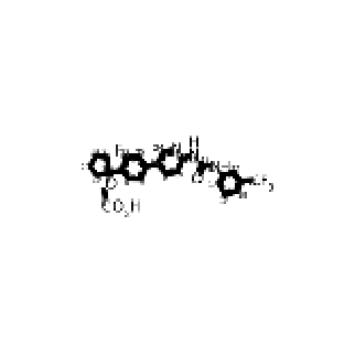 O=C(O)COC1(c2ccc(-c3ccc(NC(=O)Nc4cccc(C(F)(F)F)c4)nc3)cc2F)CCCC1